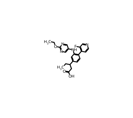 CCOc1ncc(Nc2cc(C(CC)CC(=O)O)ccc2-c2ccncc2F)cn1